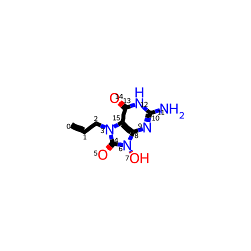 C=CCn1c(=O)n(O)c2nc(N)[nH]c(=O)c21